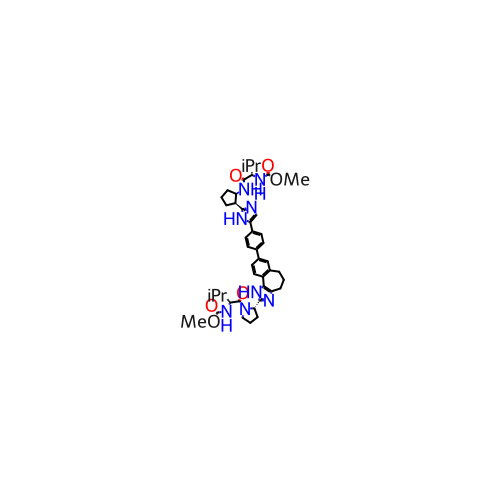 COC(=O)N[C@H](C(=O)N[C@@H]1CCC[C@@H]1c1ncc(-c2ccc(-c3ccc4c(c3)CCCc3nc([C@@H]5CCCN5C(=O)[C@@H](NC(=O)OC)C(C)C)[nH]c3-4)cc2)[nH]1)C(C)C